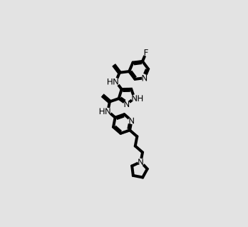 C=C(Nc1c[nH]nc1C(=C)Nc1ccc(CCCN2CCCC2)nc1)c1cncc(F)c1